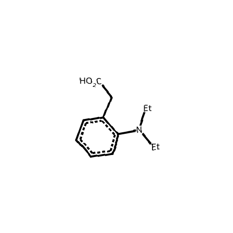 CCN(CC)c1ccccc1CC(=O)O